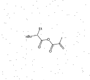 C=C(C)C(=O)OC(=O)C(CC)CCCC